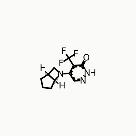 O=c1[nH]ncc(N2C[C@@H]3CCC[C@@H]32)c1C(F)(F)F